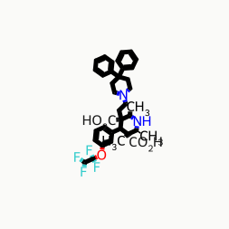 CC1N[C@H](C)C(C)(C(=O)O)C(c2cccc(OC(F)(F)C(F)F)c2)C1(CCN1CCC(c2ccccc2)(c2ccccc2)CC1)C(=O)O